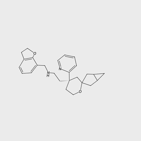 c1ccc([C@]2(CCNCc3cccc4c3OCC4)CCOC3(CC4CC4C3)C2)nc1